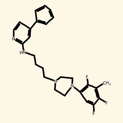 Cc1c(F)c(F)cc(N2CCN(CCCCNc3cc(-c4ccccc4)ccn3)CC2)c1F